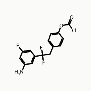 Nc1cc(F)cc(C(F)(F)Cc2ccc(OC(=O)Cl)cc2)c1